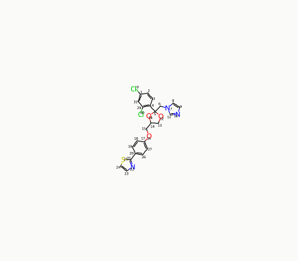 Clc1ccc(C2(Cn3ccnc3)OCC(COc3ccc(-c4nccs4)cc3)O2)c(Cl)c1